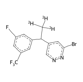 [2H]C([2H])([2H])C(c1cc(F)cc(C(F)(F)F)c1)c1cnnc(Br)c1